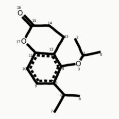 CC(C)Oc1c(C(C)C)ccc2c1CCC(=O)O2